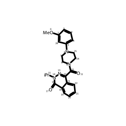 COc1cccc(N2CCN(C(=O)c3nn(C(C)C)c(=O)c4ccccc34)CC2)c1